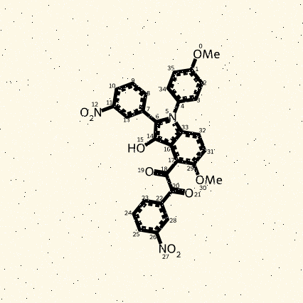 COc1ccc(-n2c(-c3cccc([N+](=O)[O-])c3)c(O)c3c(C(=O)C(=O)c4cccc([N+](=O)[O-])c4)c(OC)ccc32)cc1